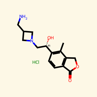 Cc1c([C@@H](O)CN2CC(CN)C2)ccc2c1COC2=O.Cl